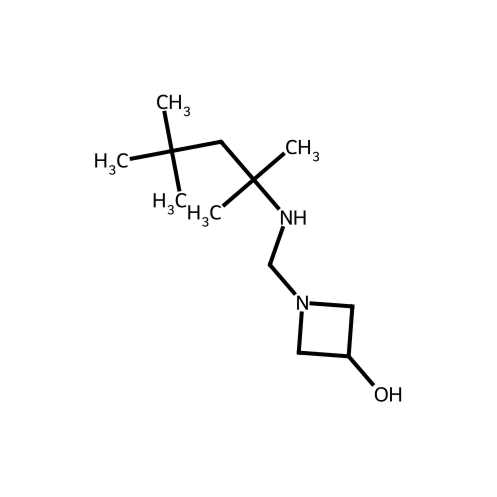 CC(C)(C)CC(C)(C)NCN1CC(O)C1